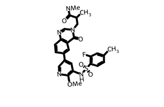 CNC(=O)C(C)Cn1cnc2ccc(-c3cnc(OC)c(NS(=O)(=O)c4ccc(C)cc4F)c3)cc2c1=O